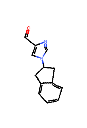 O=Cc1cn(C2Cc3ccccc3C2)cn1